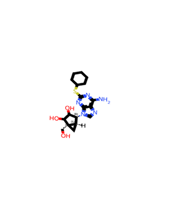 Nc1nc(SC2CCCCC2)nc2c1ncn2[C@H]1C(O)C(O)[C@]2(CO)C[C@H]12